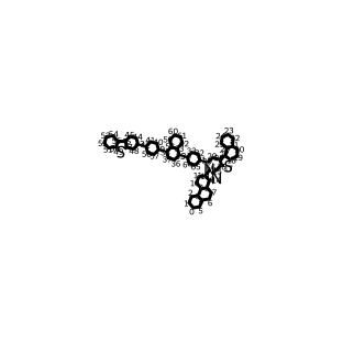 c1ccc2c(c1)ccc1c2ccc2c1nc1c3sc4ccc5ccccc5c4c3cc(-c3ccc(-c4ccc(-c5ccc(-c6ccc7c(c6)sc6ccccc67)cc5)c5ccccc45)cc3)n21